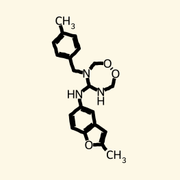 Cc1ccc(CN2COOCNC2Nc2ccc3oc(C)cc3c2)cc1